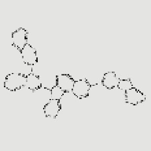 c1ccc2cc(-c3nc(-n4c5ccccc5c5c6ccc(-c7ccc8sc9ccccc9c8c7)cc6ccc54)nc4ccccc34)ccc2c1